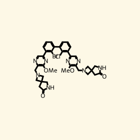 COc1nc(-c2cccc(-c3cccc(-c4cnc(CN5CC6(CNC(=O)C6)C5)c(OC)n4)c3Br)c2Cl)cnc1CN1CC2(CNC(=O)C2)C1